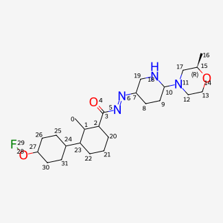 CC1C(C(=O)N=NC2CCC(N3CCO[C@H](C)C3)NC2)CCCC1C1CCC(OF)CC1